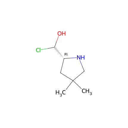 CC1(C)CN[C@@H](C(O)Cl)C1